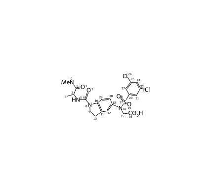 CNC(=O)C(C)NC(=O)N1CCc2cc(N(CC(=O)O)S(=O)(=O)c3cc(Cl)cc(Cl)c3)ccc21